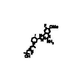 C=NN(/C=C(\C)N1CC[C@H](C)[C@@H](c2nc3c4cc(F)c(OC)cc4nc(N)n3n2)C1)CC(C)(C)O